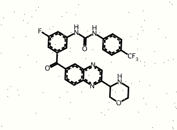 O=C(Nc1ccc(C(F)(F)F)cc1)Nc1cc(F)cc(C(=O)c2ccc3nc(C4COCCN4)cnc3c2)c1